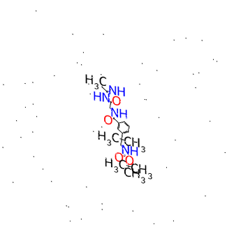 CCC(=N)NC(=O)CNC(=O)c1cccc(C(C)(C)CNC(=O)OC(C)(C)C)c1